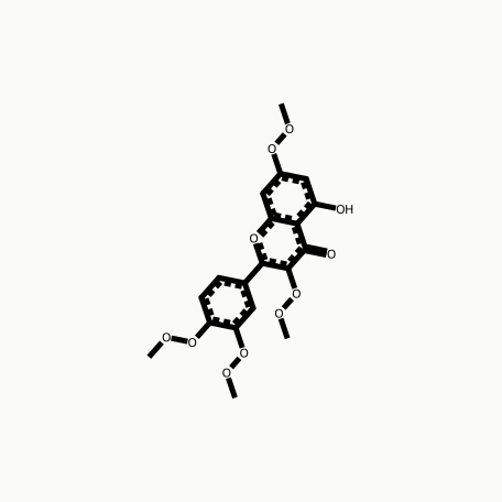 COOc1cc(O)c2c(=O)c(OOC)c(-c3ccc(OOC)c(OOC)c3)oc2c1